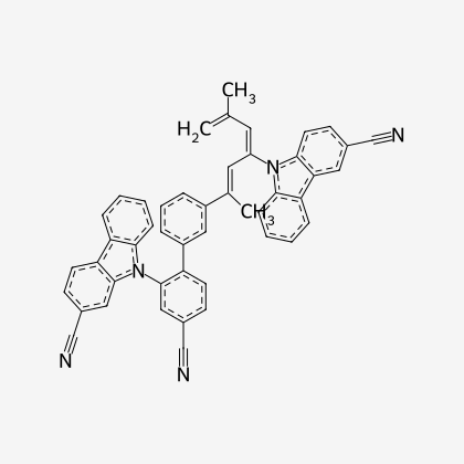 C=C(C)/C=C(\C=C(/C)c1cccc(-c2ccc(C#N)cc2-n2c3ccccc3c3ccc(C#N)cc32)c1)n1c2ccccc2c2cc(C#N)ccc21